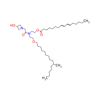 CCCCC/C=C/C=C/CCCCCCC(=O)OCCN(CCOCCCCCCCCCC(C)CCCCC)C(=O)CN1CC(O)C1